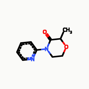 CC1OCCN(c2ccccn2)C1=O